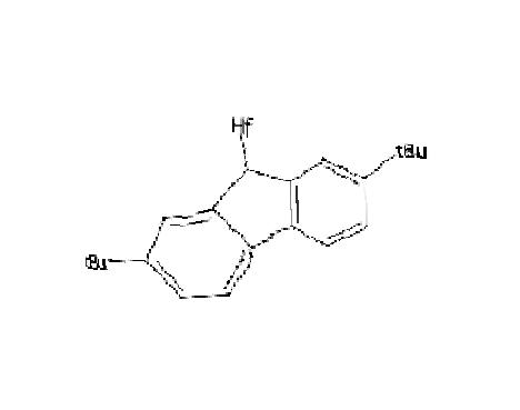 CC(C)(C)c1ccc2c(c1)[CH]([Hf])c1cc(C(C)(C)C)ccc1-2